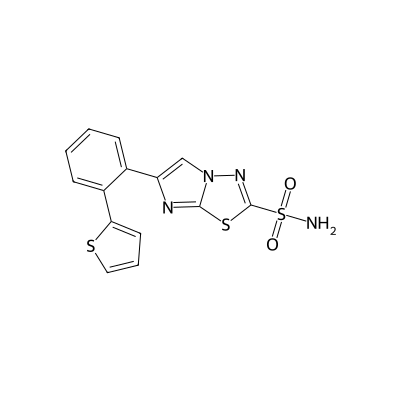 NS(=O)(=O)c1nn2cc(-c3ccccc3-c3cccs3)nc2s1